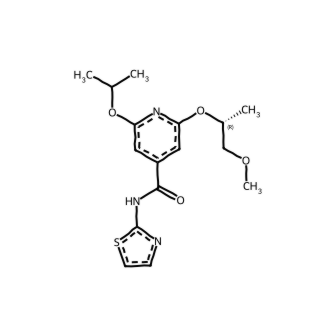 COC[C@@H](C)Oc1cc(C(=O)Nc2nccs2)cc(OC(C)C)n1